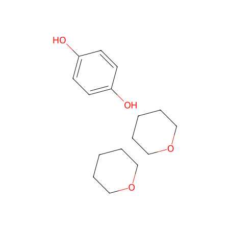 C1CCOCC1.C1CCOCC1.Oc1ccc(O)cc1